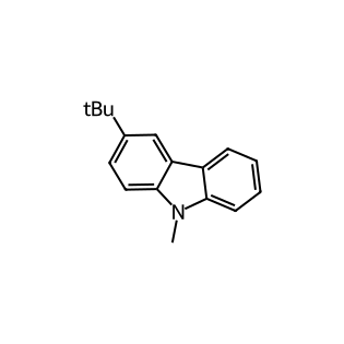 Cn1c2ccccc2c2cc(C(C)(C)C)ccc21